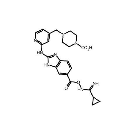 N=C(NOC(=O)c1ccc2nc(Nc3cc(CN4CCN(C(=O)O)CC4)ccn3)[nH]c2c1)C1CC1